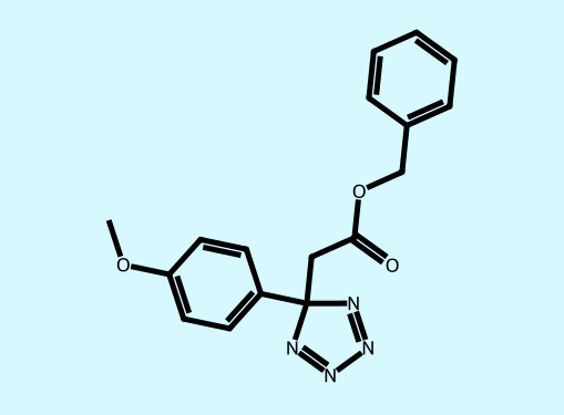 COc1ccc(C2(CC(=O)OCc3ccccc3)N=NN=N2)cc1